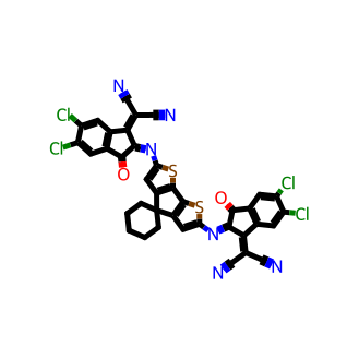 N#CC(C#N)=C1/C(=N/c2cc3c(s2)-c2sc(/N=C4\C(=O)c5cc(Cl)c(Cl)cc5C4=C(C#N)C#N)cc2C32CCCCC2)C(=O)c2cc(Cl)c(Cl)cc21